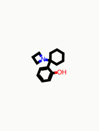 Oc1ccccc1C1(N2CCC2)CCCCC1